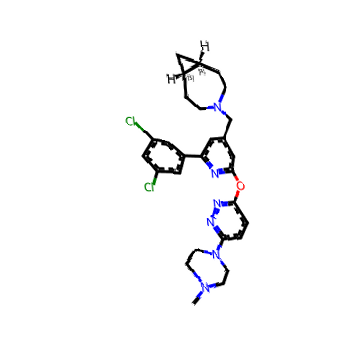 CN1CCN(c2ccc(Oc3cc(CN4CC[C@@H]5C[C@@H]5CC4)cc(-c4cc(Cl)cc(Cl)c4)n3)nn2)CC1